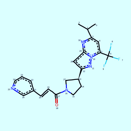 CC(C)c1cc(C(F)(F)F)n2nc([C@H]3CCN(C(=O)/C=C/c4cccnc4)C3)cc2n1